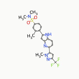 Cc1cc(S(=O)(=O)N(C)C)ccc1-c1cc2nc(-c3cc(C(F)(F)F)nn3C)ccc2[nH]1